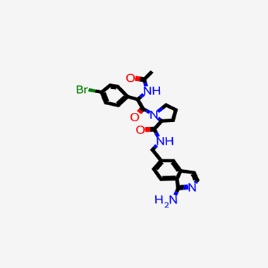 CC(=O)NC(C(=O)N1CCCC1C(=O)NCc1ccc2c(N)nccc2c1)c1ccc(Br)cc1